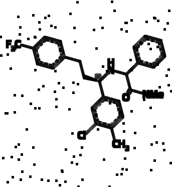 CNC(=O)C(N[C@H](CCc1ccc(C(F)(F)F)cc1)c1ccc(C)c(Cl)c1)c1ccccc1